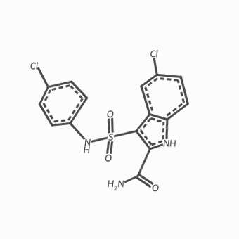 NC(=O)c1[nH]c2ccc(Cl)cc2c1S(=O)(=O)Nc1ccc(Cl)cc1